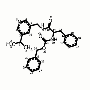 CC(C)c1cncc(CNC(=O)C(Cc2ccccc2)NC(=O)OCc2ccccc2)c1